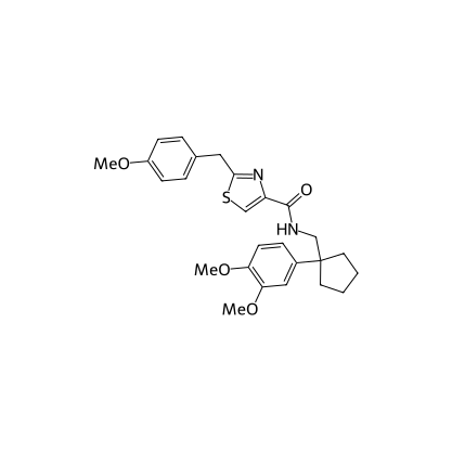 COc1ccc(Cc2nc(C(=O)NCC3(c4ccc(OC)c(OC)c4)CCCC3)cs2)cc1